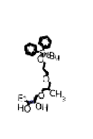 CC/C(O)=C(/O)COCC(C)COCCCO[Si](c1ccccc1)(c1ccccc1)C(C)(C)C